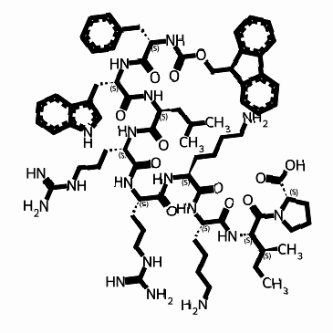 CC[C@H](C)[C@H](NC(=O)[C@H](CCCCN)NC(=O)[C@H](CCCCN)NC(=O)[C@H](CCCNC(=N)N)NC(=O)[C@H](CCCNC(=N)N)NC(=O)[C@H](CC(C)C)NC(=O)[C@H](Cc1c[nH]c2ccccc12)NC(=O)[C@H](Cc1ccccc1)NC(=O)OCC1c2ccccc2-c2ccccc21)C(=O)N1CCC[C@H]1C(=O)O